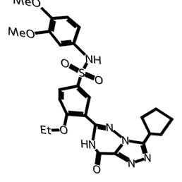 CCOc1ccc(S(=O)(=O)Nc2ccc(OC)c(OC)c2)cc1-c1nn2c(C3CCCC3)nnc2c(=O)[nH]1